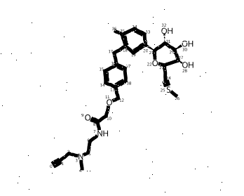 C#CCN(C)CCNC(=O)COCc1ccc(Cc2cc([C@@H]3OC(C#SC)[C@@H](O)[C@H](O)[C@H]3O)ccc2C)cc1